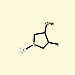 COC1CN(C(=O)O)CC1F